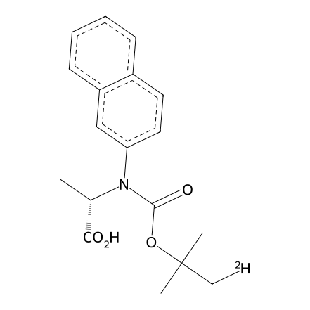 [2H]CC(C)(C)OC(=O)N(c1ccc2ccccc2c1)[C@@H](C)C(=O)O